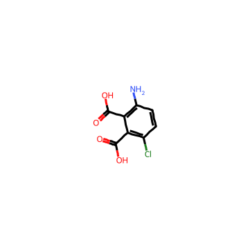 Nc1ccc(Cl)c(C(=O)O)c1C(=O)O